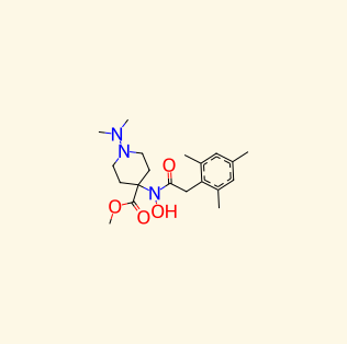 COC(=O)C1(N(O)C(=O)Cc2c(C)cc(C)cc2C)CCN(N(C)C)CC1